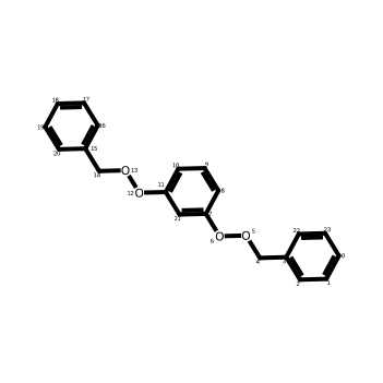 c1ccc(COOc2cccc(OOCc3ccccc3)c2)cc1